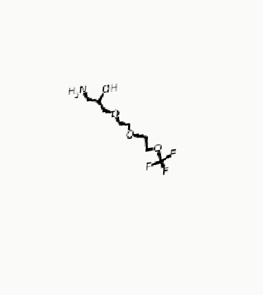 NCC(O)COCCOCCOC(F)(F)F